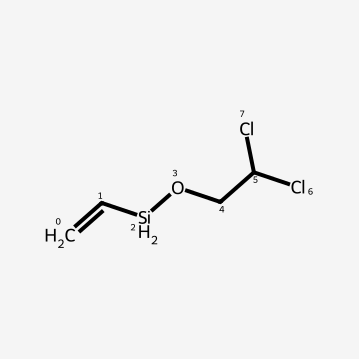 C=C[SiH2]OCC(Cl)Cl